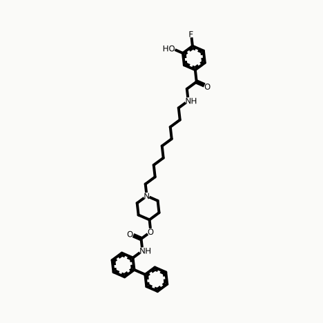 O=C(Nc1ccccc1-c1ccccc1)OC1CCN(CCCCCCCCCNCC(=O)c2ccc(F)c(O)c2)CC1